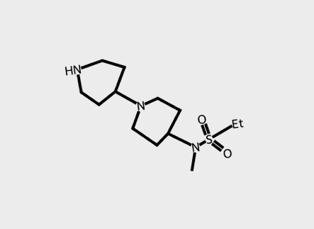 CCS(=O)(=O)N(C)C1CCN(C2CCNCC2)CC1